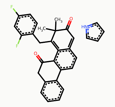 CC1(C)C(=O)C=c2ccc3c(c2=C1Cc1ccc(F)cc1F)C(=O)Cc1ccccc1-3.c1cc[nH]c1